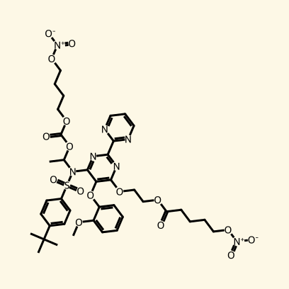 COc1ccccc1Oc1c(OCCOC(=O)CCCCO[N+](=O)[O-])nc(-c2ncccn2)nc1N(C(C)OC(=O)OCCCCO[N+](=O)[O-])S(=O)(=O)c1ccc(C(C)(C)C)cc1